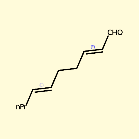 CCC/C=C/CC/C=C/C=O